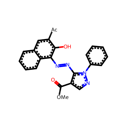 COC(=O)c1cnn(-c2ccccc2)c1/N=N/c1c(O)c(C(C)=O)cc2ccccc12